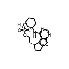 CS(=O)(=O)OCC[C@H]1CCc2sc3ncnc(NC4CCCCC4)c3c21